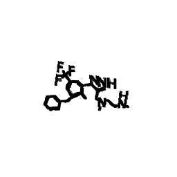 CNCCN(C)Cc1c[nH]nc1-c1cc(C(F)(F)F)cc(Cc2ccccc2)c1C